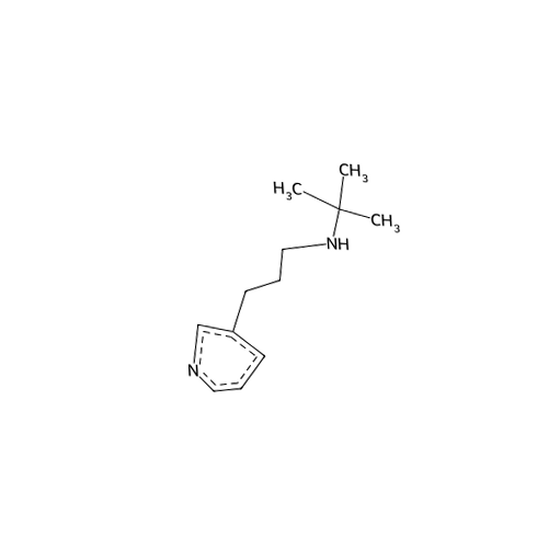 CC(C)(C)NCCCc1cccnc1